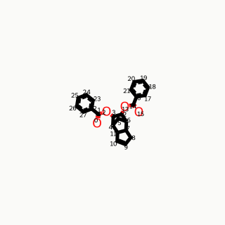 O=C(OC1C2CC(C3CC=CC32)C1OC(=O)c1ccccc1)c1ccccc1